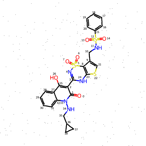 O=c1c(C2=NS(=O)(=O)c3c(CNS(=O)(=O)c4ccccc4)csc3N2)c(O)c2ccccc2n1NCC1CC1